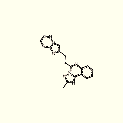 Cc1nc2c3ccccc3nc(SCc3cn4ncccc4n3)n2n1